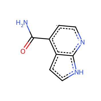 NC(=O)c1[c]cnc2[nH]ccc12